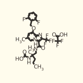 CCCC(C)(CNC(=O)c1c(C(F)(F)F)nc2c(OCc3c(F)cccc3F)cc(C)cn12)NC(=O)O.O=C(O)C(F)(F)F